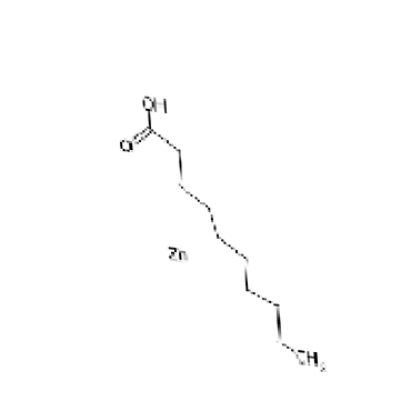 CCCCCCCCCC(=O)O.[Zn]